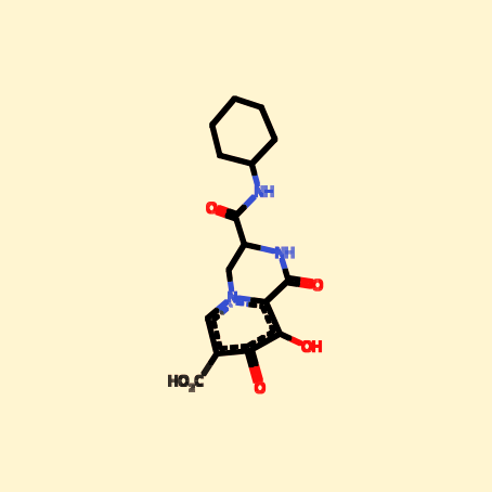 O=C(O)c1cn2c(c(O)c1=O)C(=O)NC(C(=O)NC1CCCCC1)C2